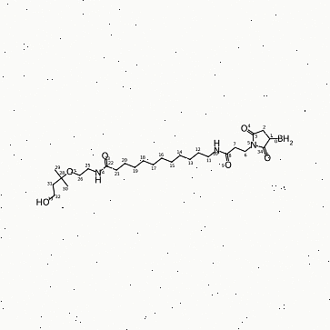 BC1CC(=O)N(CCC(=O)NCCCCCCCCCCCC(=O)NCCOC(C)(C)CCO)C1=O